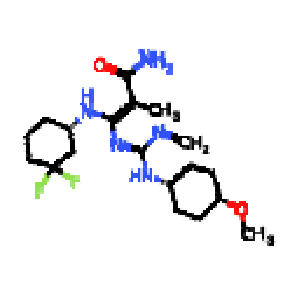 C=N/C(=N\C(N[C@H]1CCCC(F)(F)C1)=C(/C)C(N)=O)N[C@H]1CC[C@H](OC)CC1